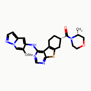 COc1cn2nccc2cc1Nc1ncnc2sc3c(c12)CC[C@H](C(=O)N1CCOC[C@H]1C)C3